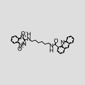 O=C(NCCCCCCNc1n[n+]([O-])c2ccccc2[n+]1[O-])c1cccc2cc3ccccc3nc12